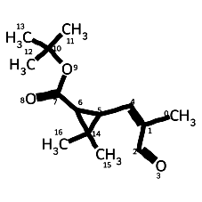 CC(C=O)=CC1C(C(=O)OC(C)(C)C)C1(C)C